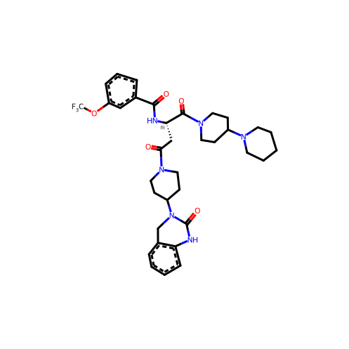 O=C(N[C@@H](CC(=O)N1CCC(N2Cc3ccccc3NC2=O)CC1)C(=O)N1CCC(N2CCCCC2)CC1)c1cccc(OC(F)(F)F)c1